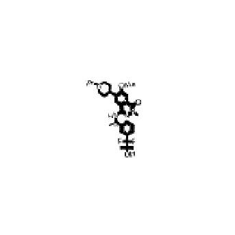 COc1cc2c(=O)n(C)nc(N[C@H](C)c3cccc(C(F)(F)C(C)(C)O)c3)c2cc1C1CCN(C(C)C)CC1